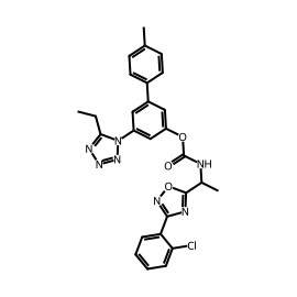 CCc1nnnn1-c1cc(OC(=O)NC(C)c2nc(-c3ccccc3Cl)no2)cc(-c2ccc(C)cc2)c1